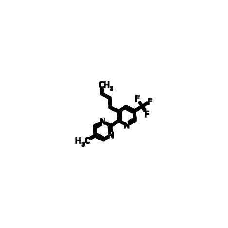 CCCCc1cc(C(F)(F)F)cnc1-c1ncc(C)cn1